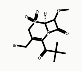 COC1C(=O)N2C(C(=O)C(C)(C)C)=C(CBr)CS(=O)(=O)[C@@H]12